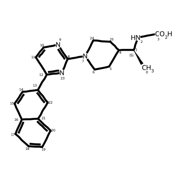 C[C@H](NC(=O)O)C1CCN(c2nccc(-c3ccc4ccccc4c3)n2)CC1